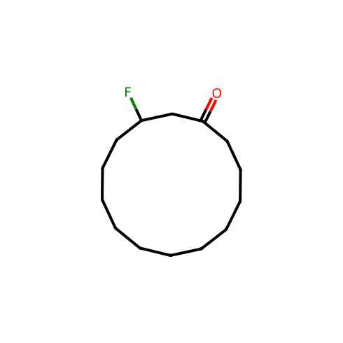 O=C1CCCCCCCCCCCC(F)C1